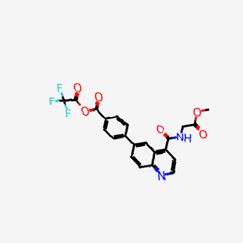 COC(=O)CNC(=O)c1ccnc2ccc(-c3ccc(C(=O)OC(=O)C(F)(F)F)cc3)cc12